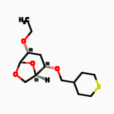 CCO[C@@H]1C[C@H](OCC2CCSCC2)[C@H]2COC1O2